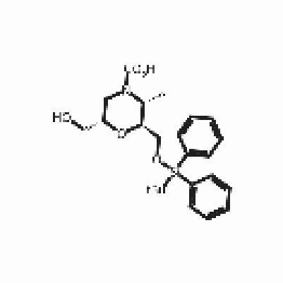 C[C@@H]1[C@@H](CO[Si](c2ccccc2)(c2ccccc2)C(C)(C)C)O[C@H](CO)CN1C(=O)O